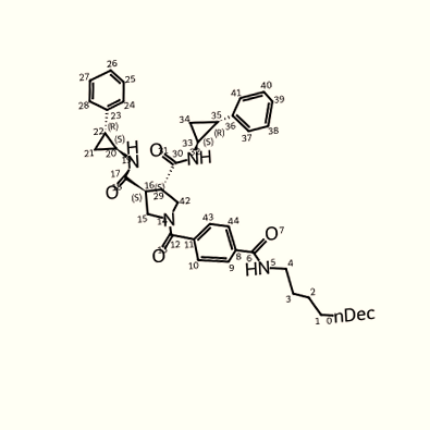 CCCCCCCCCCCCCCNC(=O)c1ccc(C(=O)N2C[C@@H](C(=O)N[C@H]3C[C@@H]3c3ccccc3)[C@H](C(=O)N[C@H]3C[C@@H]3c3ccccc3)C2)cc1